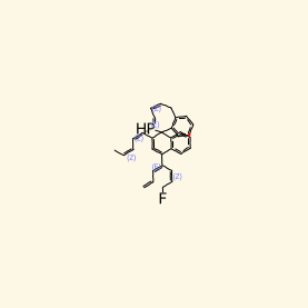 C=C/C=C(\C=C/CF)C1=C=C(/C=C\C=C/C)C2(c3ccccc3C/C=C\C=[PH]\2C)c2ccccc21